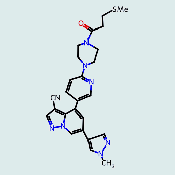 CSCCC(=O)N1CCN(c2ccc(-c3cc(-c4cnn(C)c4)cn4ncc(C#N)c34)cn2)CC1